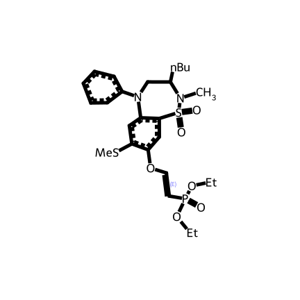 CCCCC1CN(c2ccccc2)c2cc(SC)c(O/C=C/P(=O)(OCC)OCC)cc2S(=O)(=O)N1C